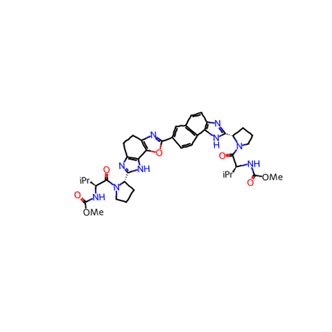 COC(=O)N[C@H](C(=O)N1CCC[C@H]1c1nc2c([nH]1)-c1oc(-c3ccc4c(ccc5nc([C@@H]6CCCN6C(=O)[C@@H](NC(=O)OC)C(C)C)[nH]c54)c3)nc1CC2)C(C)C